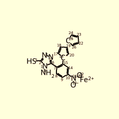 Nn1c(S)nnc1-c1ccc([N+](=O)[O-])cc1-[c-]1cccc1.[Fe+2].c1cc[cH-]c1